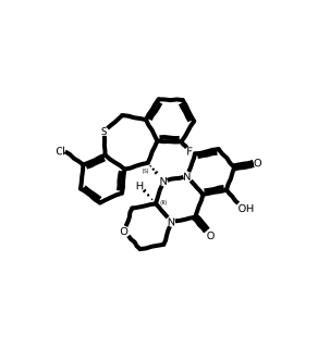 O=C1c2c(O)c(=O)ccn2N([C@@H]2c3cccc(Cl)c3SCc3cccc(F)c32)[C@@H]2COCCN12